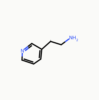 NC[CH]c1cccnc1